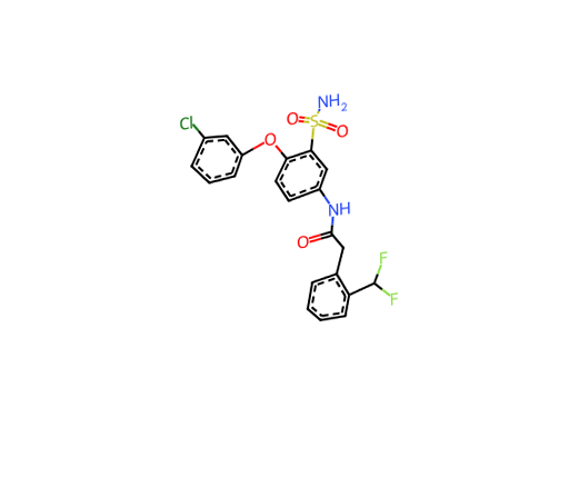 NS(=O)(=O)c1cc(NC(=O)Cc2ccccc2C(F)F)ccc1Oc1cccc(Cl)c1